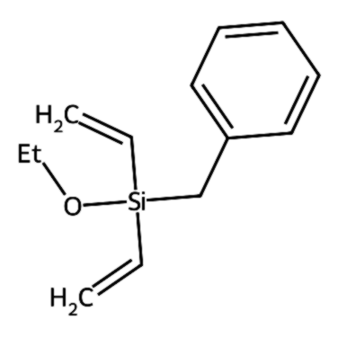 C=C[Si](C=C)(Cc1ccccc1)OCC